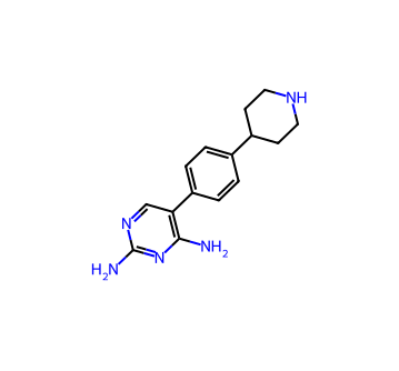 Nc1ncc(-c2ccc(C3CCNCC3)cc2)c(N)n1